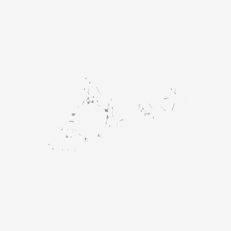 C=CC[C@H]1NC[C@H](C)C[C@@](C)(OC)[C@H](O[C@@H]2O[C@H](C)CC(N(C)C)C2O)[C@@H](C)C(=O)[C@@H](C)C(=O)O[C@H](CC)[C@@]2(n3ccc(N)nc3=O)OC(=O)N(CCCCn3cc(-c4cccc(N)c4)nn3)[C@H]12